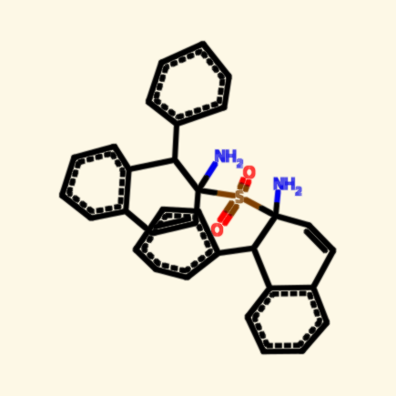 NC1(S(=O)(=O)C2(N)C=Cc3ccccc3C2c2ccccc2)C=Cc2ccccc2C1c1ccccc1